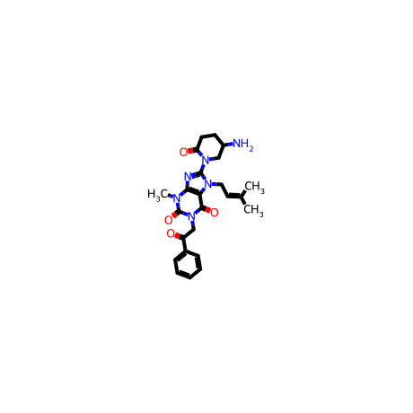 CC(C)=CCn1c(N2CC(N)CCC2=O)nc2c1c(=O)n(CC(=O)c1ccccc1)c(=O)n2C